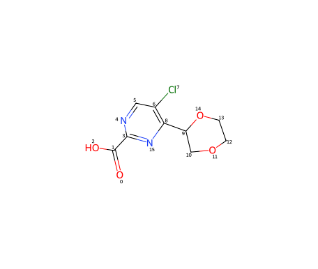 O=C(O)c1ncc(Cl)c(C2COCCO2)n1